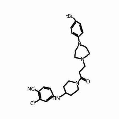 CC(C)(C)c1ccc(N2CCN(CCC(=O)N3CCC(Nc4ccc(C#N)c(Cl)c4)CC3)CC2)cc1